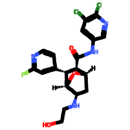 O=C(Nc1cnc(Cl)c(Cl)c1)[C@@H]1[C@@H](c2ccnc(F)c2)[C@H]2O[C@@H]1C[C@H]2NCCO